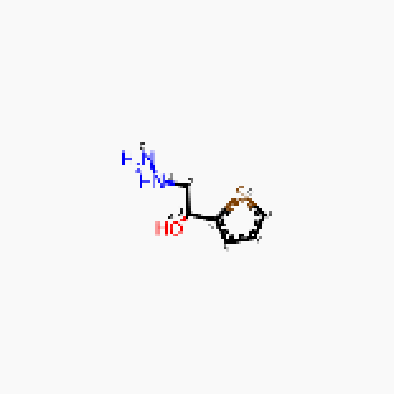 NNCC(O)c1cccs1